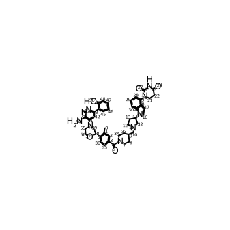 Cc1cc(C(=O)N2CCC(CN3CC[C@H](n4ccc5c(N6CCC(=O)NC6=O)cccc54)C3)CC2)ccc1[C@@H]1CN(c2cc(-c3ccccc3O)nnc2N)CCO1